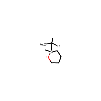 CCC(C)(OC(C)=O)[Si]1(C)CCCCO1